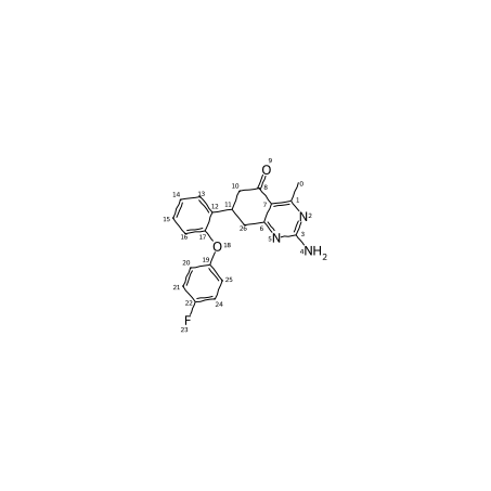 Cc1nc(N)nc2c1C(=O)CC(c1ccccc1Oc1ccc(F)cc1)C2